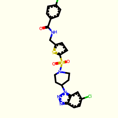 O=C(NCc1ccc(S(=O)(=O)N2CCC(n3nnc4ccc(Cl)cc43)CC2)s1)c1ccc(Cl)cc1